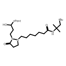 CCCCCC(O)CCN1C(=O)CCN1CCCCCCC(=O)NC(C)(C)CC(C)(C)C